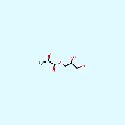 CC(=O)C(=O)OCC(O)CO